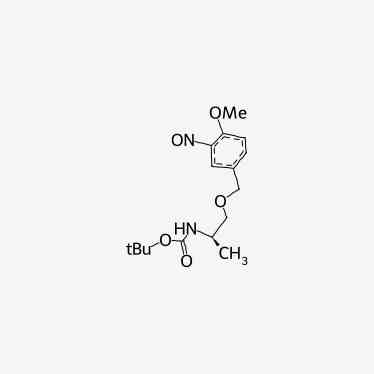 COc1ccc(COC[C@@H](C)NC(=O)OC(C)(C)C)cc1N=O